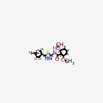 COc1cccc(OC)c1C(=O)Nc1nnc(-c2ccc(I)cc2)s1